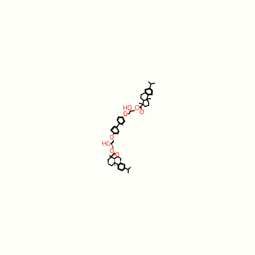 CC(C)c1ccc2c(c1)CCC1C(C)(C(=O)OCC(O)COc3ccc(-c4ccc(OCC(O)COC(=O)C5(C)CCCC6(C)c7ccc(C(C)C)cc7CCC56)cc4)cc3)CCCC21C